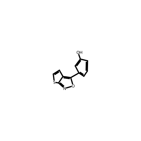 Oc1cccc(-c2onc3sccc23)c1